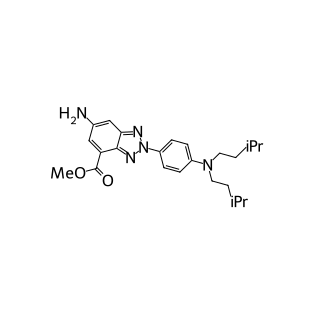 COC(=O)c1cc(N)cc2nn(-c3ccc(N(CCC(C)C)CCC(C)C)cc3)nc12